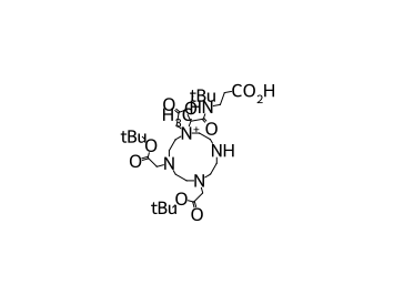 CC(C(=O)NCCC(=O)O)[N+]1(CC(=O)OC(C)(C)C)CCNCCN(CC(=O)OC(C)(C)C)CCN(CC(=O)OC(C)(C)C)CC1